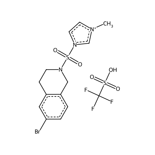 C[n+]1ccn(S(=O)(=O)N2CCc3cc(Br)ccc3C2)c1.O=S(=O)(O)C(F)(F)F